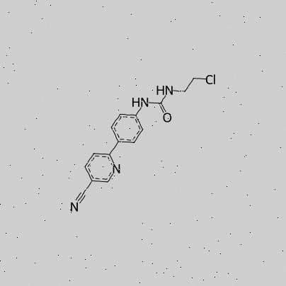 N#Cc1ccc(-c2ccc(NC(=O)NCCCl)cc2)nc1